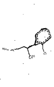 CCCCCCCC(O)c1ccccc1Cl